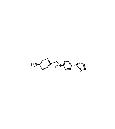 NC1CCC(CNc2ccc(-c3cccs3)cc2)CC1